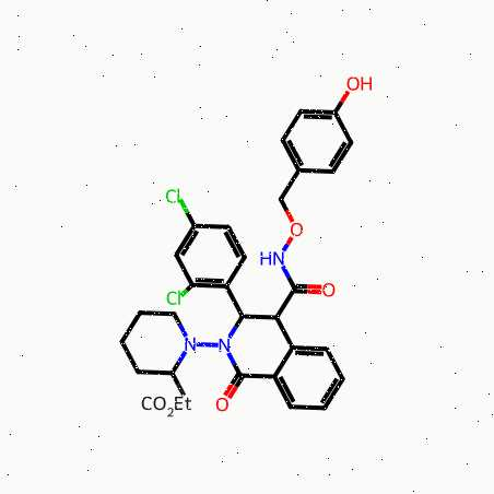 CCOC(=O)C1CCCCN1N1C(=O)c2ccccc2C(C(=O)NOCc2ccc(O)cc2)C1c1ccc(Cl)cc1Cl